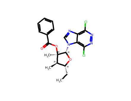 CC[C@H]1O[C@@H](n2cnc3c(Cl)nnc(Cl)c32)[C@](C)(OC(=O)c2ccccc2)[C@@H]1C